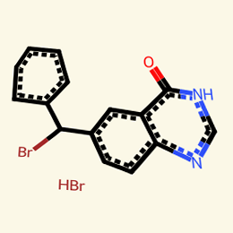 Br.O=c1[nH]cnc2ccc(C(Br)c3ccccc3)cc12